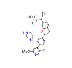 COc1cc(-c2ccc(C3CCc4ccc(C(C5CC5)[C@H](C)C(=O)O)cc4O3)cc2CN2CCNCC2)c(F)cn1